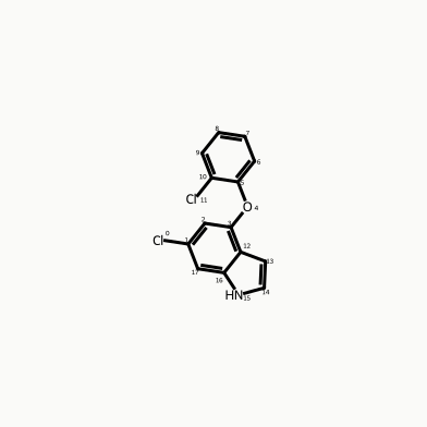 Clc1cc(Oc2ccccc2Cl)c2cc[nH]c2c1